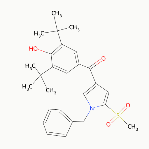 CC(C)(C)c1cc(C(=O)c2cc(S(C)(=O)=O)n(Cc3ccccc3)c2)cc(C(C)(C)C)c1O